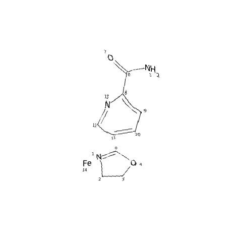 C1=NCCO1.NC(=O)c1ccccn1.[Fe]